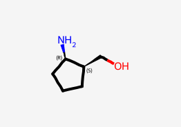 N[C@@H]1CCC[C@@H]1CO